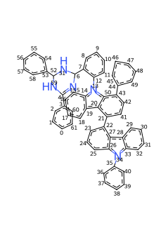 c1ccc(C2=NC(c3ccccc3-n3c4ccccc4c4c(-c5cccc6c5c5ccccc5n6-c5ccccc5)ccc(-c5ccccc5)c43)NC(c3ccccc3)N2)cc1